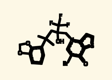 CC(C)(CC(O)(Cn1cc(Br)c(=O)c2sccc21)C(F)(F)F)c1cccc2c1OCO2